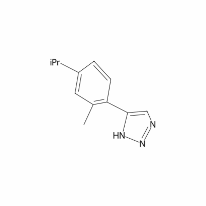 Cc1cc(C(C)C)ccc1-c1cnn[nH]1